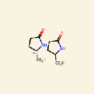 O=C1CCC(C(=O)O)N1.O=C1CC[C@@H](C(=O)O)N1